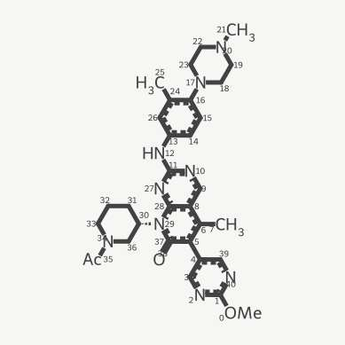 COc1ncc(-c2c(C)c3cnc(Nc4ccc(N5CCN(C)CC5)c(C)c4)nc3n([C@H]3CCCN(C(C)=O)C3)c2=O)cn1